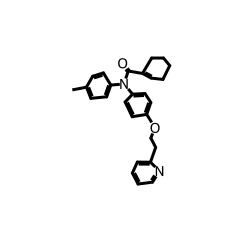 Cc1ccc(N(C(=O)C2=CCCCC2)c2ccc(OCCc3ccccn3)cc2)cc1